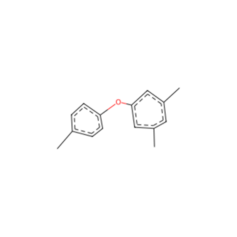 Cc1ccc(Oc2cc(C)cc(C)c2)cc1